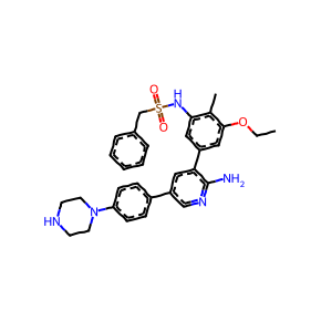 CCOc1cc(-c2cc(-c3ccc(N4CCNCC4)cc3)cnc2N)cc(NS(=O)(=O)Cc2ccccc2)c1C